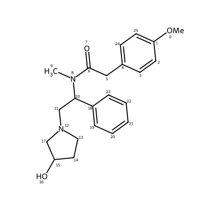 COc1ccc(CC(=O)N(C)C(CN2CCC(O)C2)c2ccccc2)cc1